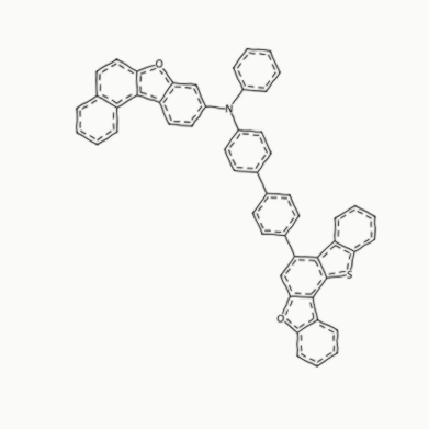 c1ccc(N(c2ccc(-c3ccc(-c4cc5oc6ccccc6c5c5sc6ccccc6c45)cc3)cc2)c2ccc3c(c2)oc2ccc4ccccc4c23)cc1